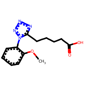 COc1ccccc1-n1nnnc1CCCCC(=O)O